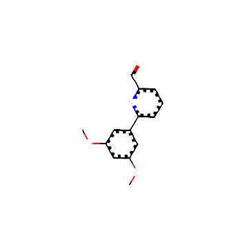 COc1cc(OC)cc(-c2cccc(C=O)n2)c1